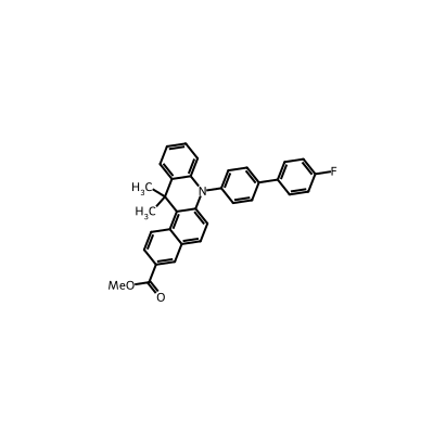 COC(=O)c1ccc2c3c(ccc2c1)N(c1ccc(-c2ccc(F)cc2)cc1)c1ccccc1C3(C)C